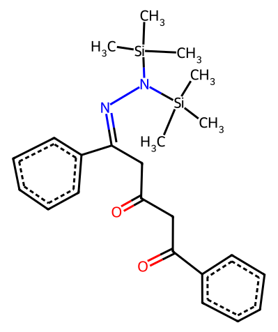 C[Si](C)(C)N(/N=C(\CC(=O)CC(=O)c1ccccc1)c1ccccc1)[Si](C)(C)C